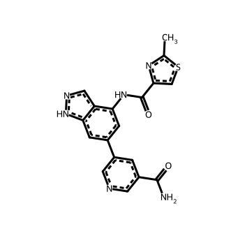 Cc1nc(C(=O)Nc2cc(-c3cncc(C(N)=O)c3)cc3[nH]ncc23)cs1